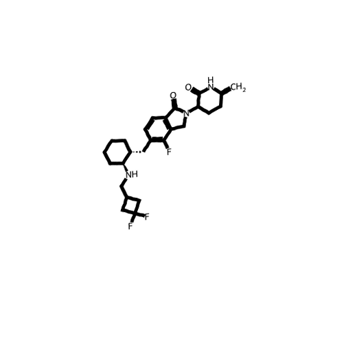 C=C1CCC(N2Cc3c(ccc(C[C@H]4CCCC[C@@H]4NCC4CC(F)(F)C4)c3F)C2=O)C(=O)N1